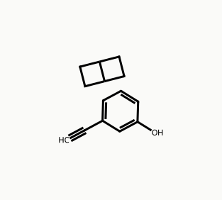 C#Cc1cccc(O)c1.C1CC2CCC12